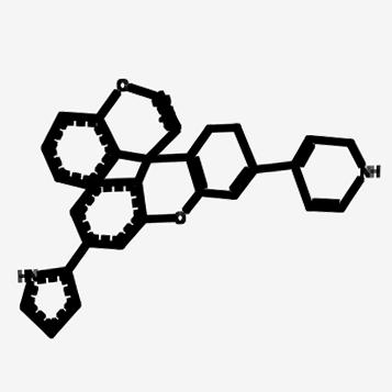 C1=CC(C2=CC3=C(CC2)C2(c4ccc(-c5ccc[nH]5)cc4O3)c3ccccc3Oc3ccccc32)=CCN1